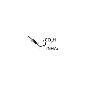 CC#CC[C@@H](NC(C)=O)C(=O)O